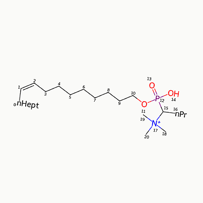 CCCCCCC/C=C\CCCCCCCCOP(=O)(O)C(CCC)[N+](C)(C)C